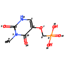 CCCn1c(=O)[nH]cc(OCP(=O)(O)O)c1=O